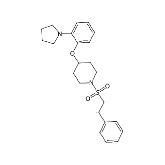 O=S(=O)(C[CH]c1ccccc1)N1CCC(Oc2ccccc2N2CCCC2)CC1